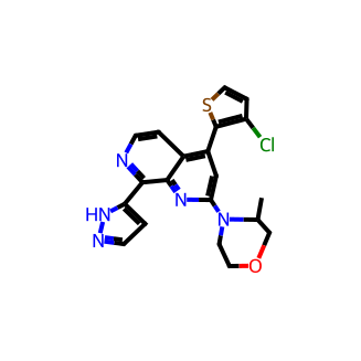 CC1COCCN1c1cc(-c2sccc2Cl)c2ccnc(-c3ccn[nH]3)c2n1